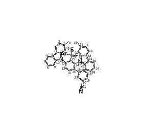 Cc1ccc2c3ccccc3n(-c3ccc(-c4cccc(C#N)c4)c(-n4c5ccccc5c5ccc(C)cc54)c3C(F)(F)F)c2c1